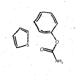 NC(=O)Oc1ccccc1.c1ccsc1